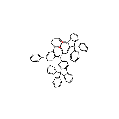 c1ccc(-c2ccc(N(c3ccc4c(c3)C(c3ccccc3)(c3ccccc3)c3ccccc3-4)c3ccc4c(c3)C(c3ccccc3)(c3ccccc3)c3ccccc3-4)c(-c3ccccc3)c2)cc1